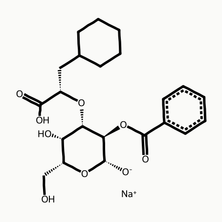 O=C(O[C@@H]1[C@@H](O[C@@H](CC2CCCCC2)C(=O)O)[C@@H](O)[C@@H](CO)O[C@H]1[O-])c1ccccc1.[Na+]